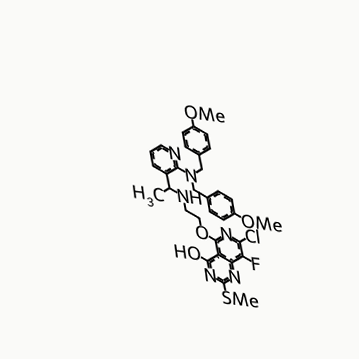 COc1ccc(CN(Cc2ccc(OC)cc2)c2ncccc2C(C)NCCOc2nc(Cl)c(F)c3nc(SC)nc(O)c23)cc1